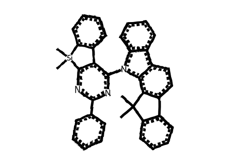 CC1(C)c2ccccc2-c2ccc3c4ccccc4n(-c4nc(-c5ccccc5)nc5c4-c4ccccc4[Si]5(C)C)c3c21